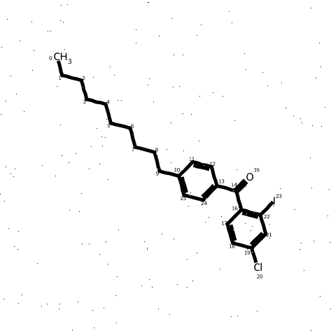 CCCCCCCCCCc1ccc(C(=O)c2ccc(Cl)cc2I)cc1